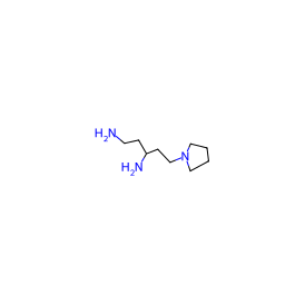 NCCC(N)CCN1CCCC1